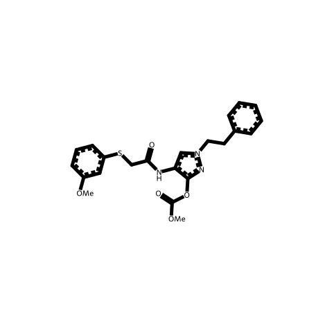 COC(=O)Oc1nn(CCc2ccccc2)cc1NC(=O)CSc1cccc(OC)c1